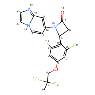 CC(F)(F)COc1cc(F)c([C@@H]2CC(=O)N2c2ccn3ccnc3c2)c(F)c1